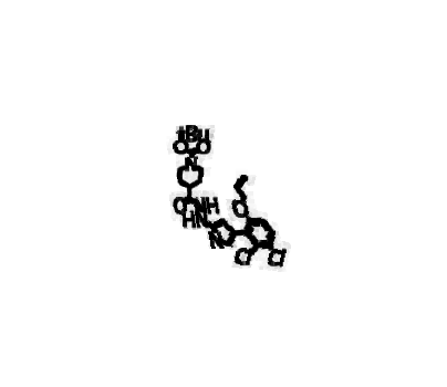 C=CCOc1ccc(Cl)c(Cl)c1C1CN=C(NNC(=O)C2CCN(C(=O)OC(C)(C)C)CC2)C1